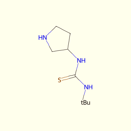 CC(C)(C)NC(=S)NC1CCNC1